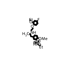 CCONS(=O)(=O)c1cc(CC(C)NCCOc2ccc(F)cc2OCC)ccc1OC